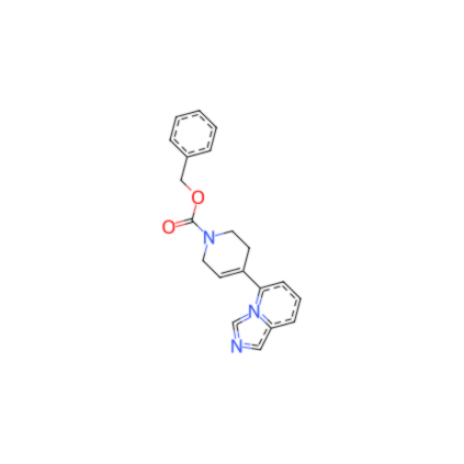 O=C(OCc1ccccc1)N1CC=C(c2cccc3cncn23)CC1